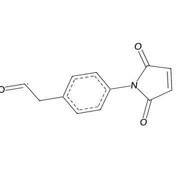 O=[C]Cc1ccc(N2C(=O)C=CC2=O)cc1